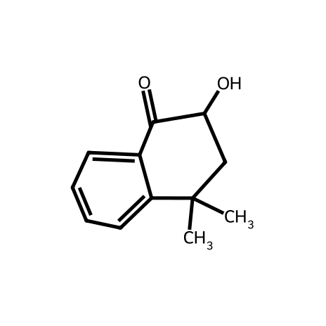 CC1(C)CC(O)C(=O)c2ccccc21